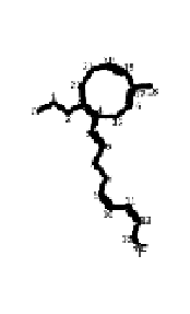 CCC/C1=C(\C=C\CC/C=C\C=C/CF)C/C=C(C)\C=C/CC1